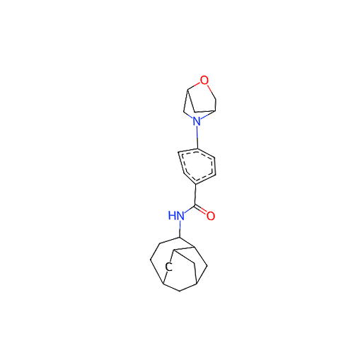 O=C(NC1CCC2CC3CC(C2)C1C3)c1ccc(N2CC3CC2CO3)cc1